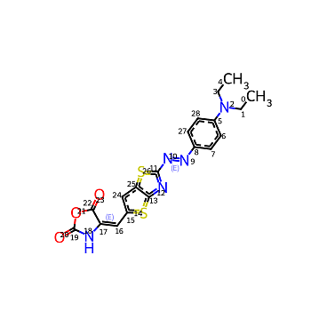 CCN(CC)c1ccc(/N=N/c2nc3sc(/C=C4/NC(=O)OC4=O)cc3s2)cc1